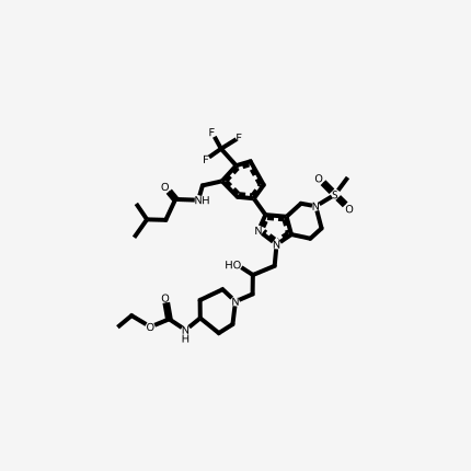 CCOC(=O)NC1CCN(CC(O)Cn2nc(-c3ccc(C(F)(F)F)c(CNC(=O)CC(C)C)c3)c3c2CCN(S(C)(=O)=O)C3)CC1